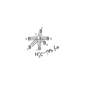 CCCC.[B]#[La](#[B])(#[B])(#[B])(#[B])#[B].[La]